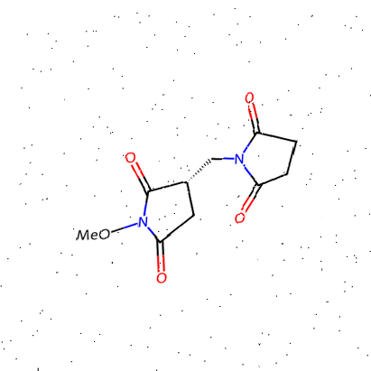 CON1C(=O)C[C@@H](CN2C(=O)CCC2=O)C1=O